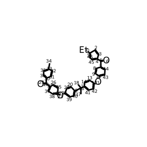 CCc1ccc(C(=O)c2ccc(Oc3ccc(C(C)(C)c4ccc(Oc5ccc(C(=O)c6ccc(C)cc6)cc5)cc4)cc3)cc2)cc1